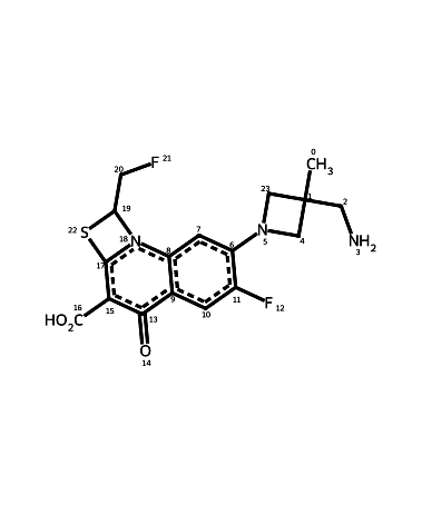 CC1(CN)CN(c2cc3c(cc2F)c(=O)c(C(=O)O)c2n3C(CF)S2)C1